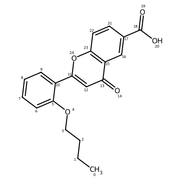 CCCCOc1ccccc1-c1cc(=O)c2cc(C(=O)O)ccc2o1